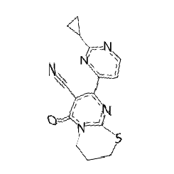 N#Cc1c(-c2ccnc(C3CC3)n2)nc2n(c1=O)CCCS2